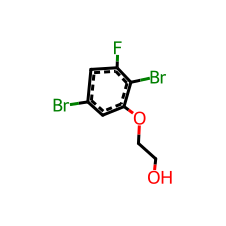 OCCOc1cc(Br)cc(F)c1Br